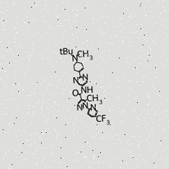 Cc1c(C(=O)Nc2cnc(C3=CCC(N(C)CC(C)(C)C)CC3)nc2)cnn1-c1ccc(C(F)(F)F)cn1